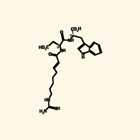 N=C(N)NCCCCCC=CC(=O)N[C@@H](CC(=O)O)C(=O)N[C@@H](Cc1c[nH]c2ccccc12)C(=O)O